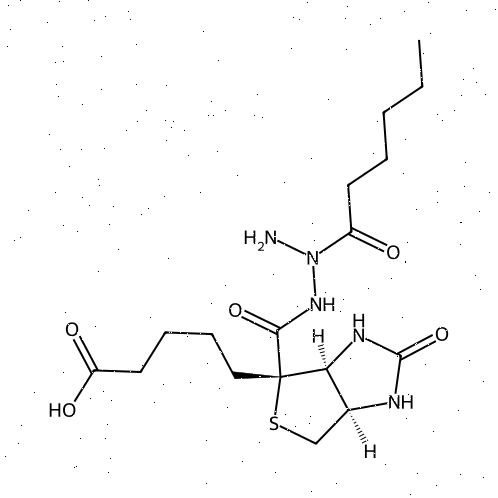 CCCCCC(=O)N(N)NC(=O)[C@@]1(CCCCC(=O)O)SC[C@@H]2NC(=O)N[C@@H]21